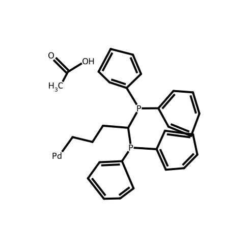 CC(=O)O.[Pd][CH2]CCC(P(c1ccccc1)c1ccccc1)P(c1ccccc1)c1ccccc1